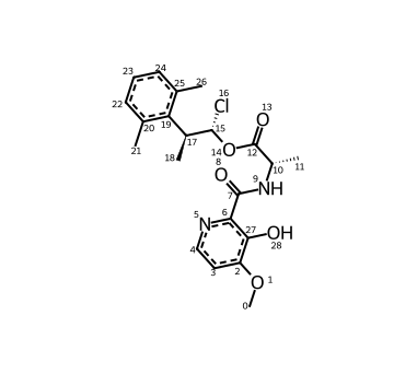 COc1ccnc(C(=O)N[C@@H](C)C(=O)O[C@@H](Cl)[C@@H](C)c2c(C)cccc2C)c1O